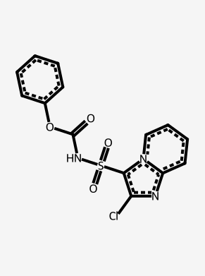 O=C(NS(=O)(=O)c1c(Cl)nc2ccccn12)Oc1ccccc1